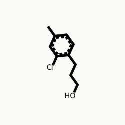 Cc1ccc(CCCO)c(Cl)c1